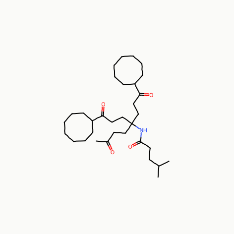 CC(=O)CCC(CCC(=O)C1CCCCCCC1)(CCC(=O)C1CCCCCCC1)NC(=O)CCC(C)C